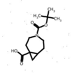 CC(C)(C)OC(=O)N1CCC2CC2(C(=O)O)CC1